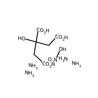 N.N.N.N.O=C(O)CC(O)(CC(=O)O)C(=O)O.O=[N+]([O-])O